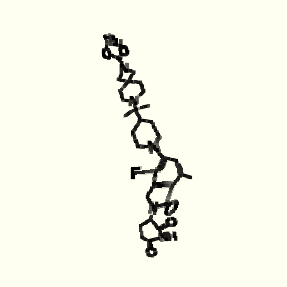 Cc1cc(N2CCC(C(C)(C)N3CCC4(CC3)CN(C(=O)OC(C)(C)C)C4)CC2)c(F)c2c1C(=O)N(C1CCC(=O)NC1=O)C2